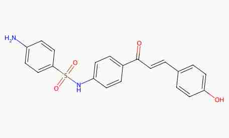 Nc1ccc(S(=O)(=O)Nc2ccc(C(=O)C=Cc3ccc(O)cc3)cc2)cc1